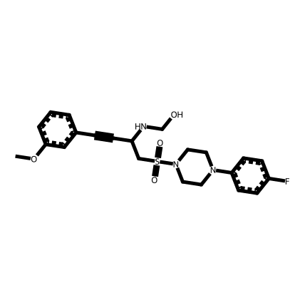 COc1cccc(C#CC(CS(=O)(=O)N2CCN(c3ccc(F)cc3)CC2)NCO)c1